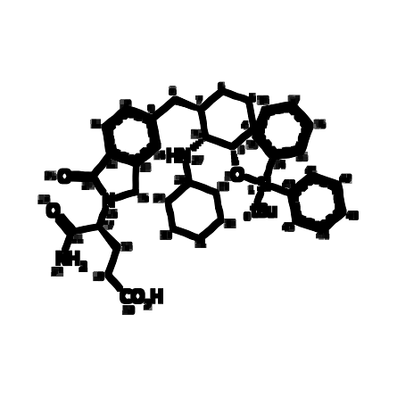 CC(C)(C)[Si](O[C@H]1CCC[C@H](Cc2ccc3c(c2)CN([C@@H](CCC(=O)O)C(N)=O)C3=O)[C@H]1NC1CCCCC1)(c1ccccc1)c1ccccc1